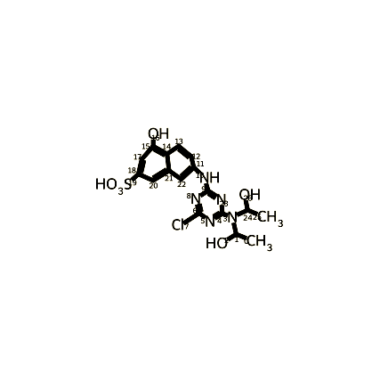 CC(O)N(c1nc(Cl)nc(Nc2ccc3c(O)cc(S(=O)(=O)O)cc3c2)n1)C(C)O